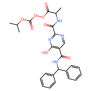 CC(C)OC(=O)OOC(=O)C(C)NC(=O)c1ncc(C(=O)NC(c2ccccc2)c2ccccc2)c(O)n1